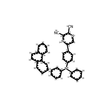 N#Cc1ncc(-c2ccc(N(c3ccccc3)c3ccccc3)cc2)nc1C#N.c1ccc2c(c1)ccc1ccccc12